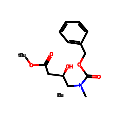 CC[C@H](C)C([C@H](O)CC(=O)OC(C)(C)C)N(C)C(=O)OCc1ccccc1